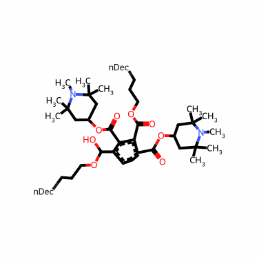 CCCCCCCCCCCCCOC(=O)c1c(C(=O)OC2CC(C)(C)N(C)C(C)(C)C2)ccc(C(O)OCCCCCCCCCCCCC)c1C(=O)OC1CC(C)(C)N(C)C(C)(C)C1